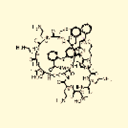 CNC(=O)c1ccccc1Sc1ccc2c(/C=C/c3ccccn3)nn(C(=O)N(CCCOC(C)=O)CCC(=O)N[C@@H](CCN)C(=O)N[C@H](C(=O)N[C@@H](CCN)C(=O)N[C@H]3CCNC(=O)[C@@H]([C@@H](C)O)NC(=O)[C@H](CCN)NC(=O)[C@H](CCN)NC(=O)[C@H](CC(C)C)NC(=O)[C@@H](Cc4ccccc4)NC(=O)[C@H](CCN)NC3=O)[C@@H](C)O)c2c1